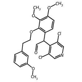 COc1cccc(CCOc2c(C(C=O)c3c(Cl)cncc3Cl)ccc(OC)c2OC)c1